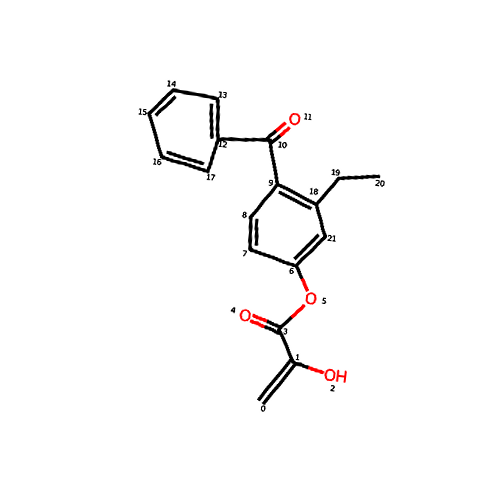 C=C(O)C(=O)Oc1ccc(C(=O)c2ccccc2)c(CC)c1